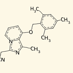 Cc1cc(C)c(COc2cccn3c(CC#N)nc(C)c23)c(C)c1